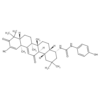 CC1(C)C[C@H]2[C@H](CC[C@]3(C)[C@@H]2C(=O)C=C2[C@@]4(C)C=C(C#N)C(=O)C(C)(C)[C@@H]4CC[C@]23C)[C@H](NC(=O)Nc2ccc(O)cc2)C1